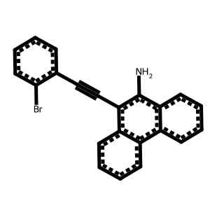 Nc1c(C#Cc2ccccc2Br)c2ccccc2c2ccccc12